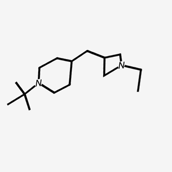 CCN1CC(CC2CCN(C(C)(C)C)CC2)C1